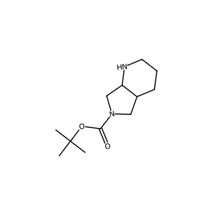 CC(C)(C)OC(=O)N1CC2CCCNC2C1